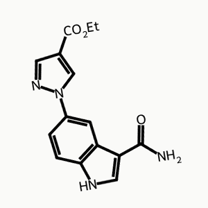 CCOC(=O)c1cnn(-c2ccc3[nH]cc(C(N)=O)c3c2)c1